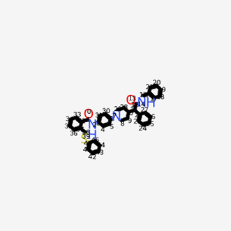 O=C(Nc1ccc(N2CCC(C(C(=O)NCc3ccccc3)c3ccccc3)CC2)cc1)c1ccccc1CSc1ccccc1